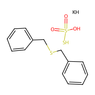 O=S(=O)(O)S.[KH].c1ccc(CSCc2ccccc2)cc1